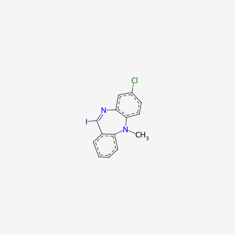 CN1c2ccc(Cl)cc2N=C(I)c2ccccc21